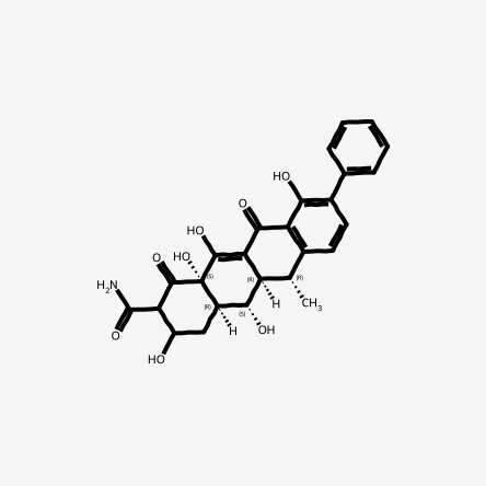 C[C@H]1c2ccc(-c3ccccc3)c(O)c2C(=O)C2=C(O)[C@]3(O)C(=O)C(C(N)=O)C(O)C[C@@H]3[C@@H](O)[C@@H]21